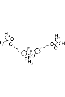 C=C(C)C(=O)OCCCCc1ccc(OC(F)(P)c2c(F)cc(CCCCOC(=O)C(=C)C)cc2F)cc1